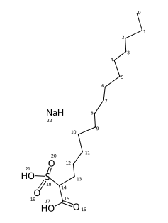 CCCCCCCCCCCCCCC(C(=O)O)S(=O)(=O)O.[NaH]